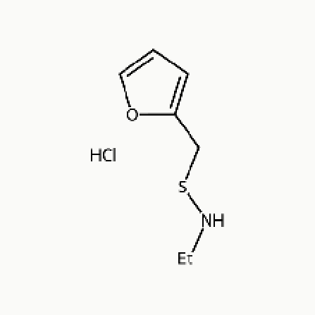 CCNSCc1ccco1.Cl